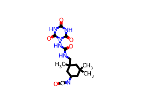 CC1(C)CC(N=C=O)CC(C)(CNC(=O)Nn2c(=O)[nH]c(=O)[nH]c2=O)C1